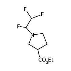 CCOC(=O)C1CCN(C(F)C(F)F)C1